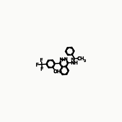 C[C@@H](Nc1nnc(-c2ccc(C(F)(F)F)cc2O)c2ccccc12)c1ccccc1